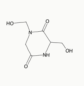 O=C1CN(CO)C(=O)C(CO)N1